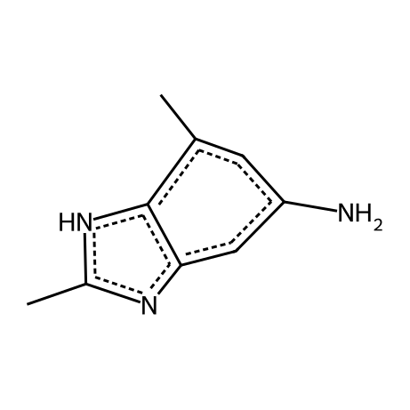 Cc1nc2cc(N)cc(C)c2[nH]1